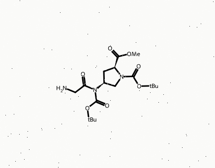 COC(=O)[C@@H]1C[C@H](N(C(=O)CN)C(=O)OC(C)(C)C)CN1C(=O)OC(C)(C)C